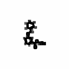 CC(C)(C)OC(=O)c1cccc(OCc2ccccc2)n1